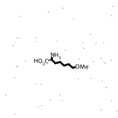 COCCCCC[C@H](N)C(=O)O